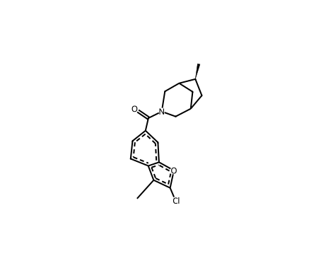 Cc1c(Cl)oc2cc(C(=O)N3CC4CC(C3)[C@@H](C)C4)ccc12